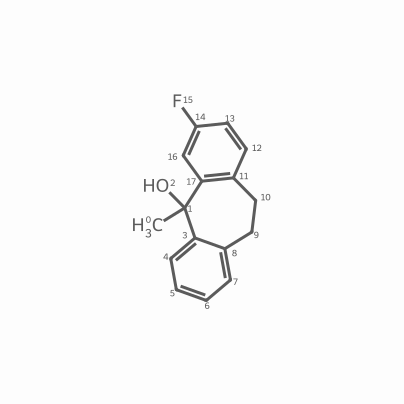 CC1(O)c2ccccc2CCc2ccc(F)cc21